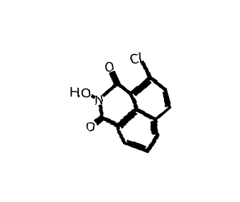 O=C1c2cccc3ccc(Cl)c(c23)C(=O)N1O